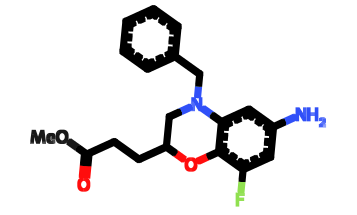 COC(=O)CCC1CN(Cc2ccccc2)c2cc(N)cc(F)c2O1